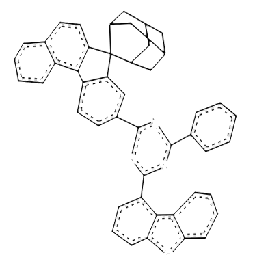 c1ccc(-c2nc(-c3ccc4c(c3)C3(c5ccc6ccccc6c5-4)C4CC5CC(C4)CC3C5)nc(-c3cccc4oc5ccccc5c34)n2)cc1